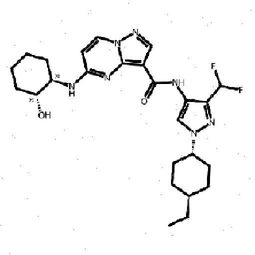 CC[C@H]1CC[C@H](n2cc(NC(=O)c3cnn4ccc(N[C@@H]5CCCC[C@H]5O)nc34)c(C(F)F)n2)CC1